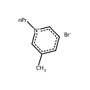 CCC[n+]1cccc(C)c1.[Br-]